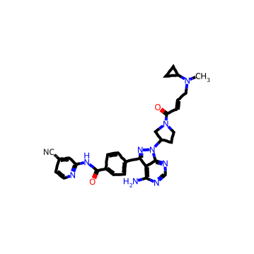 CN(CC=CC(=O)N1CCC(n2nc(-c3ccc(C(=O)Nc4cc(C#N)ccn4)cc3)c3c(N)ncnc32)C1)C1CC1